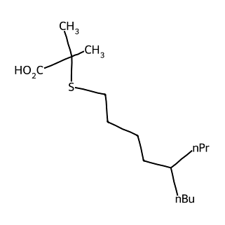 CCCCC(CCC)CCCCSC(C)(C)C(=O)O